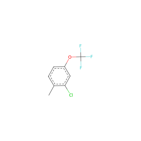 Cc1ccc(OC(F)(F)F)cc1Cl